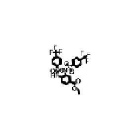 CCOC(=O)c1ccc(NS(=O)(=O)c2ccc(C(F)(F)F)cc2)c(NS(=O)(=O)c2ccc(C(F)(F)F)cc2)c1